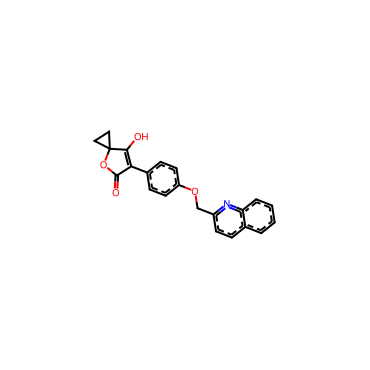 O=C1OC2(CC2)C(O)=C1c1ccc(OCc2ccc3ccccc3n2)cc1